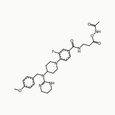 COc1ccc(CN(C2=NCCCN2)C2CCN(c3ccc(C(=O)NCCC(=O)ONC(C)=O)cc3F)CC2)cc1